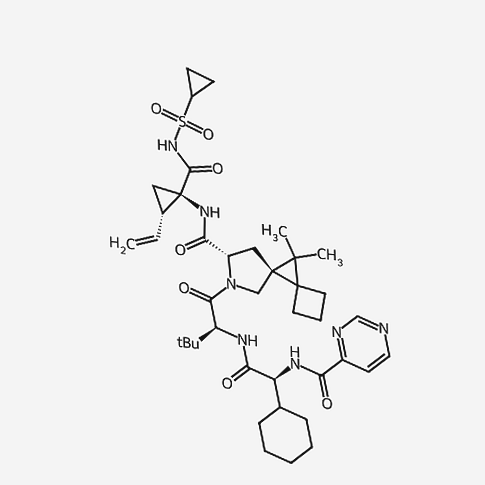 C=C[C@@H]1C[C@]1(NC(=O)[C@@H]1C[C@@]2(CN1C(=O)[C@@H](NC(=O)[C@@H](NC(=O)c1ccncn1)C1CCCCC1)C(C)(C)C)C(C)(C)C21CCC1)C(=O)NS(=O)(=O)C1CC1